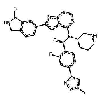 Cn1cc(-c2ccc(C(=O)N(c3nccc4sc(-c5ccc6c(c5)C(=O)NC6)cc34)[C@@H]3CCCNC3)c(F)c2)nn1